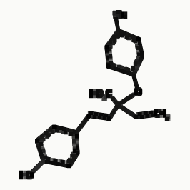 C=CC(C=Cc1ccc(O)cc1)(Oc1ccc(C(C)(C)C)cc1)C(=O)O